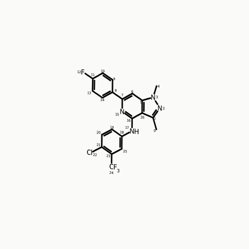 Cc1nn(C)c2cc(-c3ccc(F)cc3)nc(Nc3ccc(Cl)c(C(F)(F)F)c3)c12